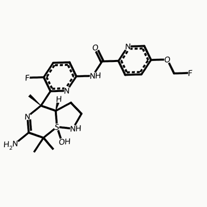 CC1(C)C(N)=N[C@](C)(c2nc(NC(=O)c3ccc(OCF)cn3)ccc2F)[C@@H]2CCNS21O